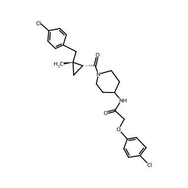 C[C@]1(Cc2ccc(Cl)cc2)C[C@H]1C(=O)N1CCC(NC(=O)COc2ccc(Cl)cc2)CC1